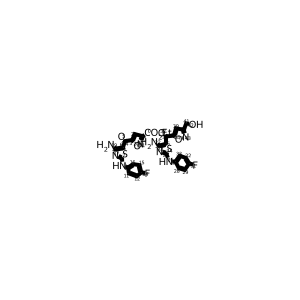 CCOC(=O)c1cc(C(=O)c2sc(Nc3ccc(F)cc3)nc2N)on1.Nc1nc(Nc2ccc(F)cc2)sc1C(=O)c1cc(CO)no1